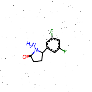 NN1C(=O)CCC1c1cc(F)cc(F)c1